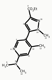 CCOC(=O)c1cc(-c2cnc(N(C)C)cc2C)n(C)n1